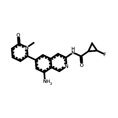 Cn1c(-c2cc(N)c3cnc(NC(=O)C4CC4F)cc3c2)cccc1=O